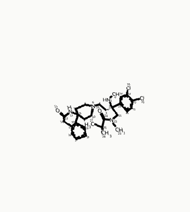 CN[C@](CCN1CCC2(CC1)NC(=O)Cc1ccccc12)(CN(C)C(=O)C(C)C)c1ccc(Cl)c(Cl)c1